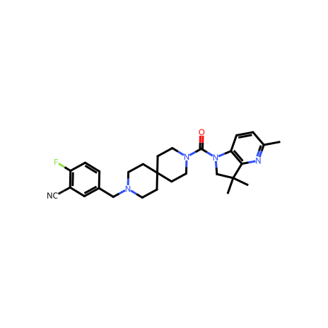 Cc1ccc2c(n1)C(C)(C)CN2C(=O)N1CCC2(CCN(Cc3ccc(F)c(C#N)c3)CC2)CC1